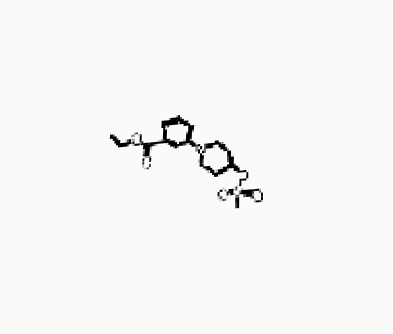 CCOC(=O)c1cccc(N2CCC(OS(C)(=O)=O)CC2)c1